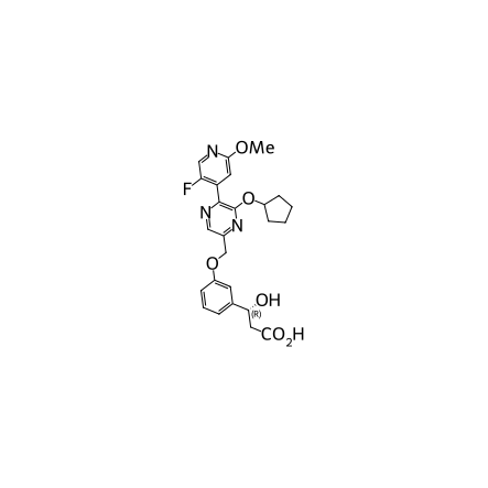 COc1cc(-c2ncc(COc3cccc([C@H](O)CC(=O)O)c3)nc2OC2CCCC2)c(F)cn1